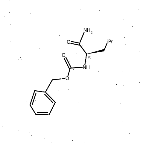 CC(C)C[C@@H](NC(=O)OCc1ccccc1)C(N)=O